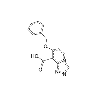 O=C(O)c1c(OCc2ccccc2)ccn2cnnc12